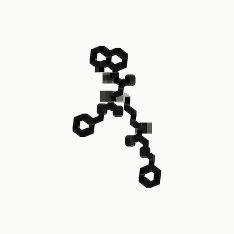 O=C(COCc1ccccc1)NCCCC[C@H](NC(=O)OCc1ccccc1)C(=O)Nc1cccc2cccnc12